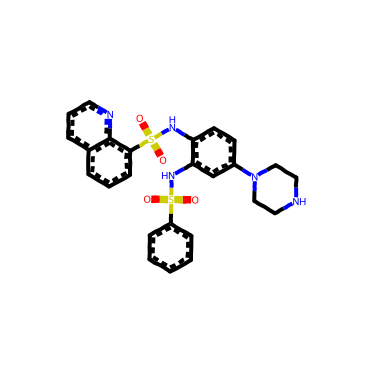 O=S(=O)(Nc1cc(N2CCNCC2)ccc1NS(=O)(=O)c1cccc2cccnc12)c1ccccc1